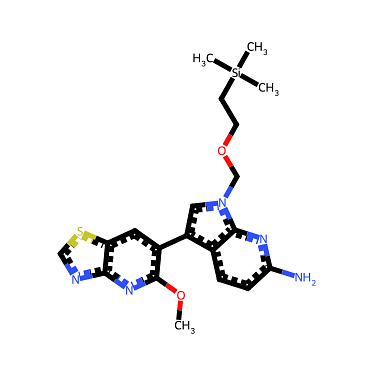 COc1nc2ncsc2cc1-c1cn(COCC[Si](C)(C)C)c2nc(N)ccc12